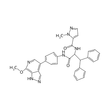 COc1ncc(-c2ccc(NC(=O)C(NC(=O)c3ccnn3C)C(c3ccccc3)c3ccccc3)cc2)c2cn[nH]c12